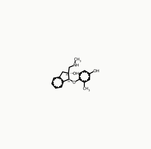 CNC[C@]1(O)Cc2ccccc2[C@@H]1Oc1ccc(O)cc1C